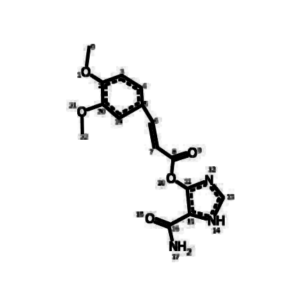 COc1ccc(C=CC(=O)Oc2nc[nH]c2C(N)=O)cc1OC